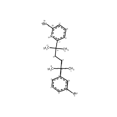 CC(C)(C)c1cccc(C(C)(C)CCC(C)(C)c2cccc(C(C)(C)C)n2)c1